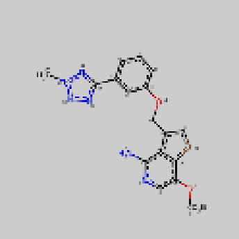 CCOC(=O)Oc1cnc(N)c2c(COc3cccc(-c4nnn(C)n4)c3)csc12